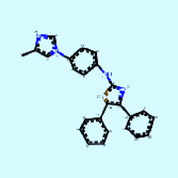 Cc1cn(-c2ccc(Nc3nc(-c4ccccc4)c(-c4ccccc4)s3)cc2)cn1